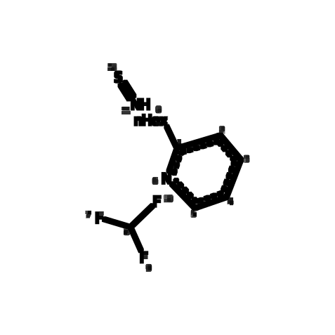 CCCCCCc1ccccn1.FC(F)F.N=S